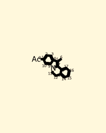 CC(=O)c1ccc2c(C)c3n(c2c1)CCc1ccccc1-3